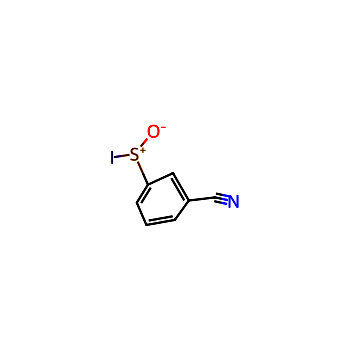 N#Cc1cccc([S+]([O-])I)c1